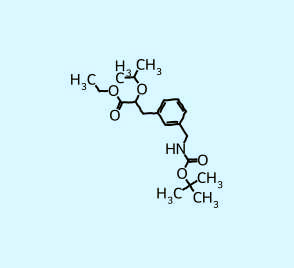 CCOC(=O)C(Cc1cccc(CNC(=O)OC(C)(C)C)c1)OC(C)C